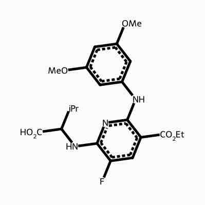 CCOC(=O)c1cc(F)c(NC(C(=O)O)C(C)C)nc1Nc1cc(OC)cc(OC)c1